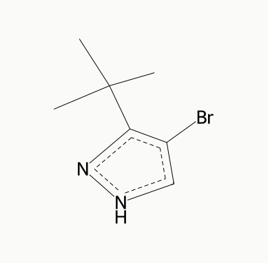 CC(C)(C)c1n[nH]cc1Br